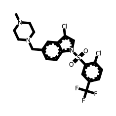 CN1CCN(Cc2ccc3c(c2)c(Cl)cn3S(=O)(=O)c2cc(C(F)(F)F)ccc2Cl)CC1